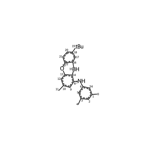 Cc1cc(C)cc(Nc2cc(C)cc3c2Bc2cc(C(C)(C)C)ccc2O3)c1